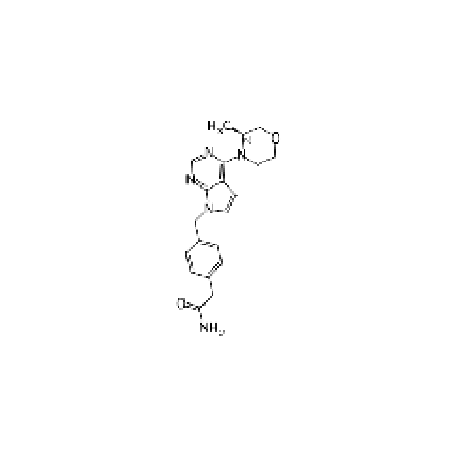 C[C@H]1COCCN1c1ncnc2c1ccn2Cc1ccc(CC(N)=O)cc1